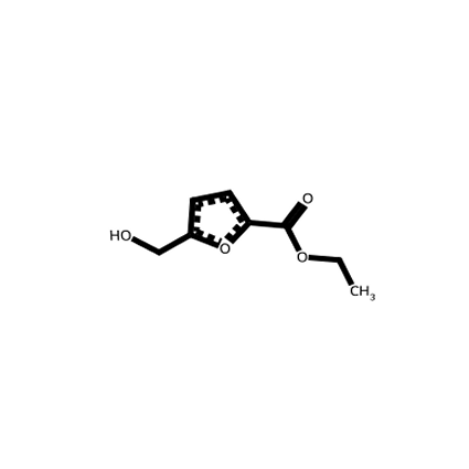 CCOC(=O)c1ccc(CO)o1